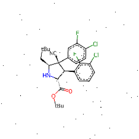 CC(C)(C)C[C@@H]1N[C@@H](C(=O)OC(C)(C)C)[C@H](c2cccc(Cl)c2F)[C@@]1(C#N)c1ccc(Cl)c(F)c1